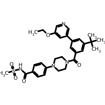 CCOc1cncc(-c2cc(C(=O)N3CCN(c4ccc(C(=O)NS(C)(=O)=O)cc4)CC3)cc(C(C)(C)C)c2)c1